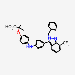 CC(C)(Oc1ccc(Nc2ccc(-c3c4cccc(C(F)(F)F)c4nn3Cc3ccccc3)cc2)cc1)C(=O)O